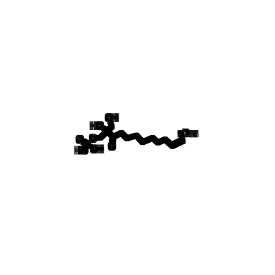 CCCCCCCCCC/C=C\CCCCCCCC(=O)C(O)(CO)COP(=O)(O)O